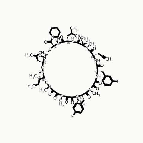 C#CC[C@@H]1NC(=O)[C@H](Cc2cccc(I)c2)NC(=O)C(=O)N(C)C(=O)[C@H](Cc2ccc(F)cc2)N(C)C(=O)C(=O)N(C)C(=O)C(=O)N(C)C[C@H]([C@@H](C)CC)NC[C@H](CC(C)C)N(C)CC[C@@H](C(=O)N2CCCCC2)N(C)C(=O)[C@H](CC(C)C)NC(=O)C(C)(C)N(C)C1=O